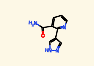 NC(=O)c1cccnc1-c1cn[nH]c1